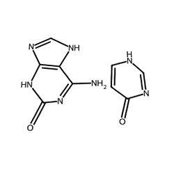 Nc1nc(=O)[nH]c2nc[nH]c12.O=c1cc[nH]cn1